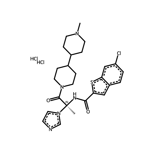 CN1CCC(C2CCN(C(=O)[C@@](C)(NC(=O)c3cc4ccc(Cl)cc4s3)n3ccnc3)CC2)CC1.Cl.Cl